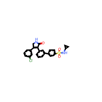 O=C1NCC(c2cccc(Cl)c2)=C1c1cccc(-c2ccc(S(=O)(=O)NC3CC3)cc2)c1